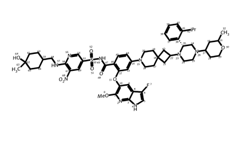 COc1nc2[nH]cc(F)c2cc1Oc1cc(N2CCC3(CC2)CC(N2CCN(C4CCOC(C)C4)C[C@H]2c2ccccc2C(C)C)C3)ccc1C(=O)NS(=O)(=O)c1cnc(NCC2CCC(C)(O)CC2)c([N+](=O)[O-])c1